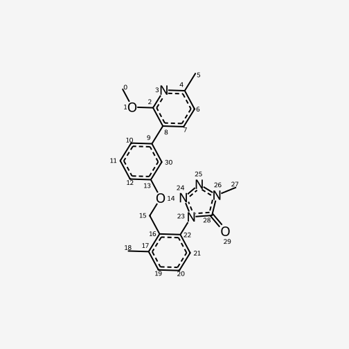 COc1nc(C)ccc1-c1cccc(OCc2c(C)cccc2-n2nnn(C)c2=O)c1